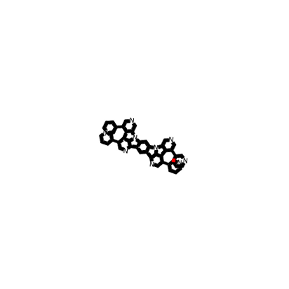 c1cncc(-c2cncc3c2c2c(-c4cccnc4)cnc4c5cc6c7ncc(-c8cccnc8)c8c9c(-c%10cccnc%10)cncc9n(c6cc5n3c42)c78)c1